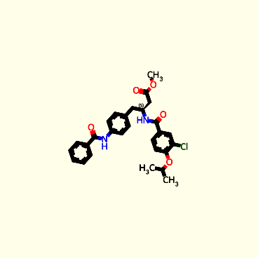 COC(=O)C[C@H](Cc1ccc(NC(=O)c2ccccc2)cc1)NC(=O)c1ccc(OC(C)C)c(Cl)c1